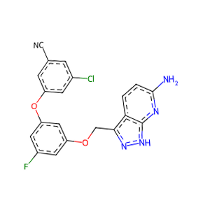 N#Cc1cc(Cl)cc(Oc2cc(F)cc(OCc3n[nH]c4nc(N)ccc34)c2)c1